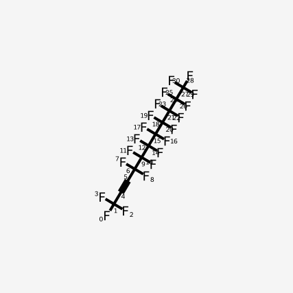 FC(F)(F)C#CC(F)(F)C(F)(F)C(F)(F)C(F)(F)C(F)(F)C(F)(F)C(F)(F)C(F)(F)F